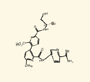 COc1ccc(-c2ccc(C(=O)N[C@H](CO)C(C)(C)C)nc2C(=O)O)c(C(=O)Nc2ccc(C(=N)N)nc2)n1